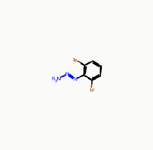 N/N=N/c1c(Br)cccc1Br